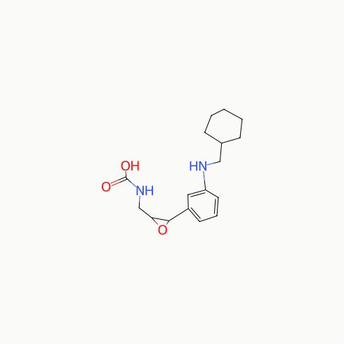 O=C(O)NCC1OC1c1cccc(NCC2CCCCC2)c1